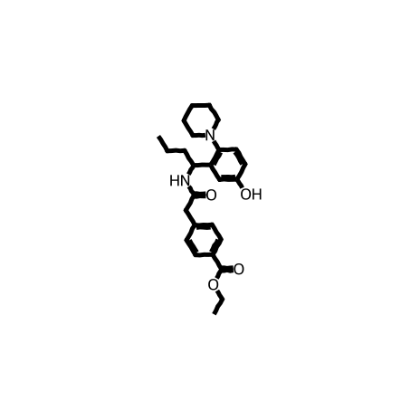 CCCC(NC(=O)Cc1ccc(C(=O)OCC)cc1)c1cc(O)ccc1N1CCCCC1